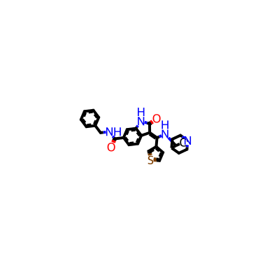 O=C1Nc2cc(C(=O)NCc3ccccc3)ccc2/C1=C(/NC1CN2CCC1CC2)c1ccsc1